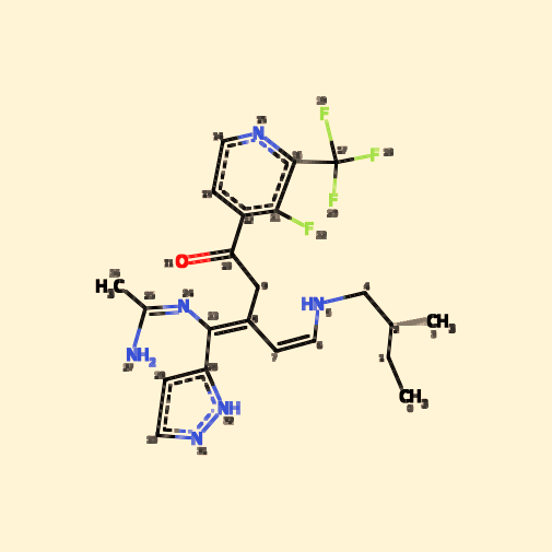 CC[C@@H](C)CN\C=C/C(CC(=O)c1ccnc(C(F)(F)F)c1F)=C(/N=C(/C)N)c1ccn[nH]1